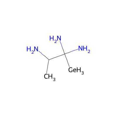 CC(N)[C](N)(N)[GeH3]